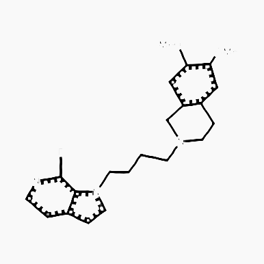 COc1cc2c(cc1OC)CN(CCCCn1ccc3ccnc(F)c31)CC2